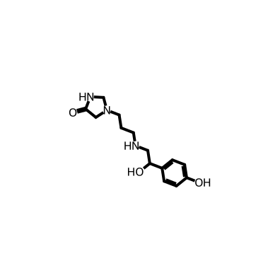 O=C1CN(CCCNCC(O)c2ccc(O)cc2)CN1